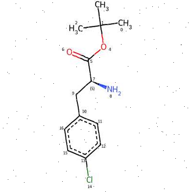 CC(C)(C)OC(=O)[C@@H](N)Cc1ccc(Cl)cc1